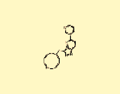 C1=C\C/C(Cc2nnc3ccc(-c4cccnc4)nn23)=C\C=C/C\N=C/1